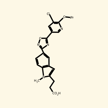 CC(C)Oc1ncc(-c2nc(-c3ccc4c(c3)cc(CCC(=O)O)n4C)no2)cc1Cl